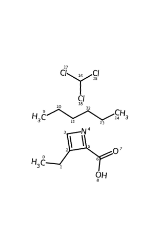 CCC1=CN=C1C(=O)O.CCCCCC.ClC(Cl)Cl